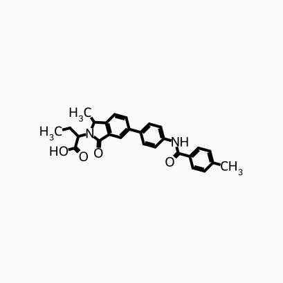 CCC(C(=O)O)N1C(=O)c2cc(-c3ccc(NC(=O)c4ccc(C)cc4)cc3)ccc2C1C